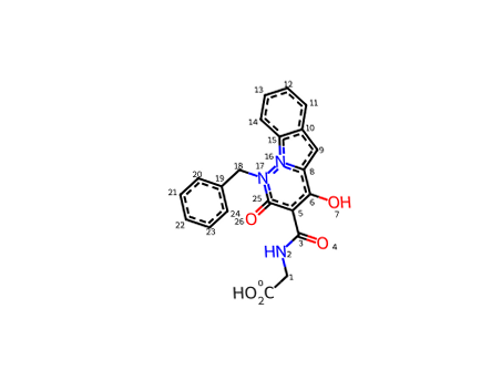 O=C(O)CNC(=O)c1c(O)c2cc3ccccc3n2n(Cc2ccccc2)c1=O